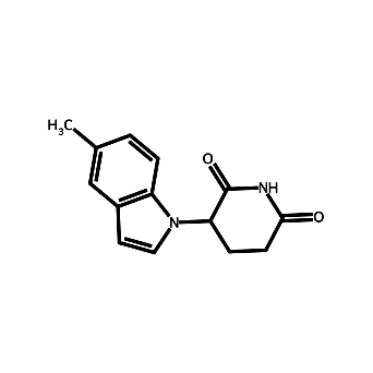 Cc1ccc2c(ccn2C2CCC(=O)NC2=O)c1